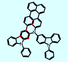 c1ccc(N(c2ccc(-c3cccc4cccc(-c5ccc(-c6ccc7c(c6)c6ccccc6n7-c6ccccc6)cc5)c34)cc2)c2ccc3c(c2)c2ccccc2n3-c2ccccc2)cc1